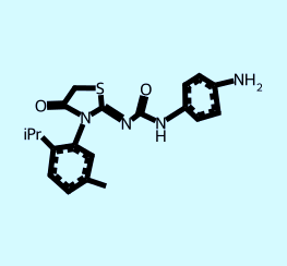 Cc1ccc(C(C)C)c(N2C(=O)CSC2=NC(=O)Nc2ccc(N)cc2)c1